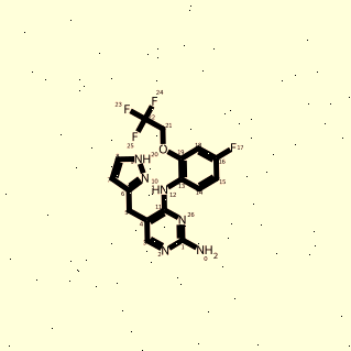 Nc1ncc(Cc2cc[nH]n2)c(Nc2ccc(F)cc2OCC(F)(F)F)n1